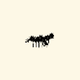 C=CC(=O)Nc1cc(Nc2ncnc(Nc3cccc(Br)c3)n2)c(OC)cc1N1CCC(N2CCCC2)CC1